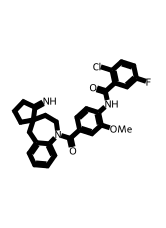 COc1cc(C(=O)N2CCC3(CCCC3=N)Cc3ccccc32)ccc1NC(=O)c1cc(F)ccc1Cl